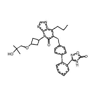 CCCc1c(Cc2ccc(-c3ccccc3-c3noc(=O)[nH]3)cc2)c(=O)n(C2CC(OCC(C)(C)O)C2)c2ncnn12